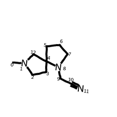 CN1CCC2(CCCN2CC#N)C1